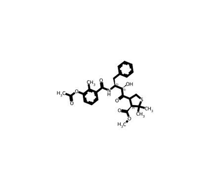 COC(=O)[C@H]1C(C(=O)[C@@H](O)[C@H](Cc2ccccc2)NC(=O)c2cccc(OC(C)=O)c2C)CSC1(C)C